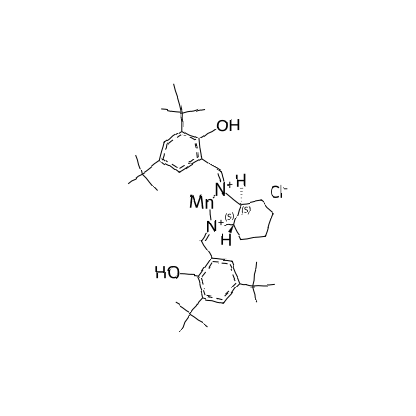 CC(C)(C)c1cc(C=[N+]2[Mn][N+](=Cc3cc(C(C)(C)C)cc(C(C)(C)C)c3O)[C@H]3CCCC[C@@H]32)c(O)c(C(C)(C)C)c1.[Cl-]